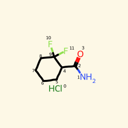 Cl.NC(=O)C1CCCCC1(F)F